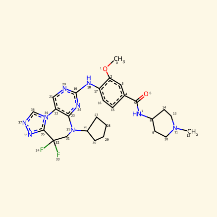 COc1cc(C(=O)NC2CCN(C)CC2)ccc1Nc1ncc2c(n1)N(C1CCCC1)CC(F)(F)c1nncn1-2